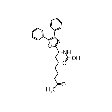 CC(=O)CCCCCC(NC(=O)O)c1nc(-c2ccccc2)c(-c2ccccc2)o1